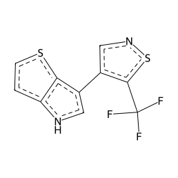 FC(F)(F)c1sncc1-c1c[nH]c2ccsc12